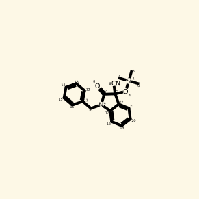 C[Si](C)(C)OC1(C#N)C(=O)N(Cc2ccccc2)c2ccccc21